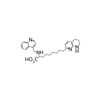 O=C(O)C(CCCCCCCc1ccc2c(n1)NCCC2)NCc1ccnc2ccccc12